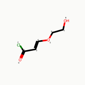 O=C(Cl)C=COCCO